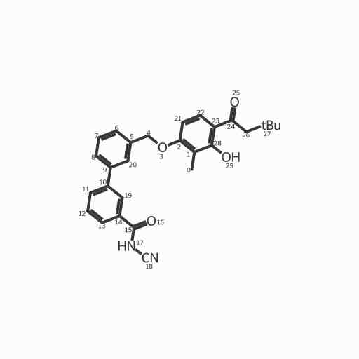 Cc1c(OCc2cccc(-c3cccc(C(=O)NC#N)c3)c2)ccc(C(=O)CC(C)(C)C)c1O